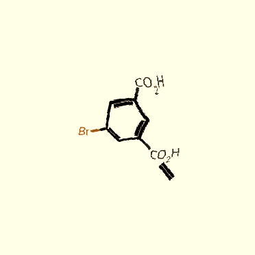 C=C.O=C(O)c1cc(Br)cc(C(=O)O)c1